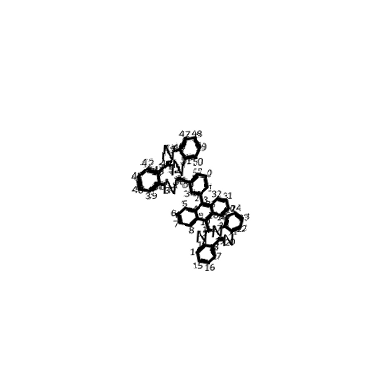 c1cc(-c2c3ccccc3c(-c3nc4ccccc4c4nc5ccccc5n34)c3ccccc23)cc(-c2nc3ccccc3c3nc4ccccc4n23)c1